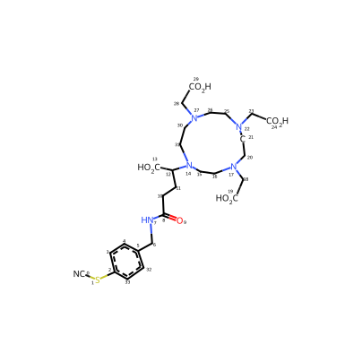 N#CSc1ccc(CNC(=O)CCC(C(=O)O)N2CCN(CC(=O)O)CCN(CC(=O)O)CCN(CC(=O)O)CC2)cc1